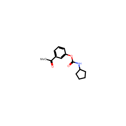 COC(=O)c1cccc(OC(=O)NC2CCCC2)c1